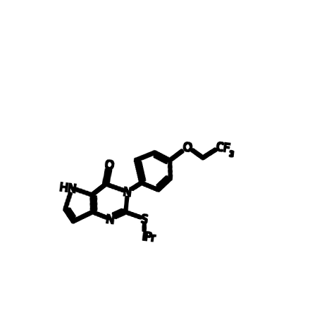 CC(C)Sc1nc2cc[nH]c2c(=O)n1-c1ccc(OCC(F)(F)F)cc1